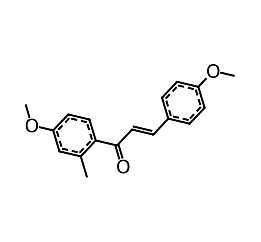 COc1ccc(C=CC(=O)c2ccc(OC)cc2C)cc1